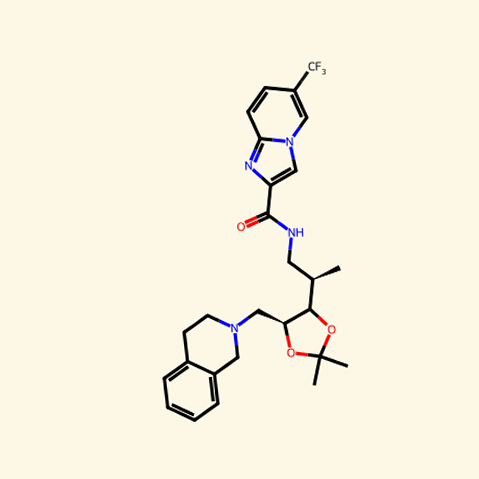 C[C@H](CNC(=O)c1cn2cc(C(F)(F)F)ccc2n1)C1OC(C)(C)O[C@H]1CN1CCc2ccccc2C1